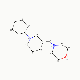 C1CCC(N2CCC[C@@H](CN3CCOCC3)C2)CC1